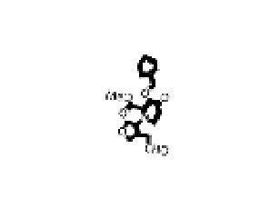 COC(=O)c1c(OCc2ccccc2)c(=O)ccn1C1COCC1CC=O